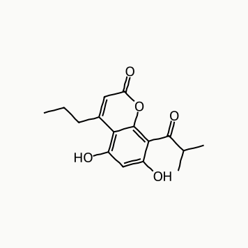 CCCc1cc(=O)oc2c(C(=O)C(C)C)c(O)cc(O)c12